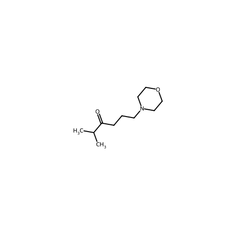 CC(C)C(=O)CCCN1CCOCC1